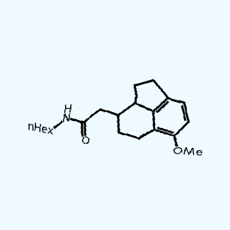 CCCCCCNC(=O)CC1CCc2c(OC)ccc3c2C1CC3